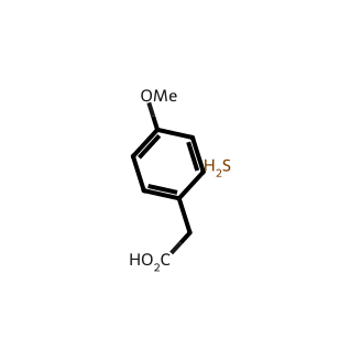 COc1ccc(CC(=O)O)cc1.S